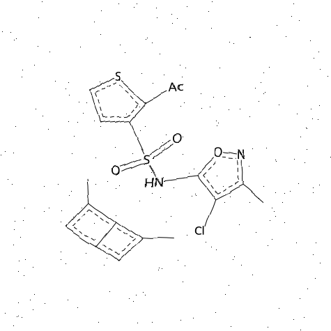 CC(=O)c1sccc1S(=O)(=O)Nc1onc(C)c1Cl.Cc1cc2cc(C)c1-2